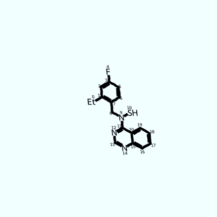 CCc1cc(F)ccc1CN(S)c1ncnc2ccccc12